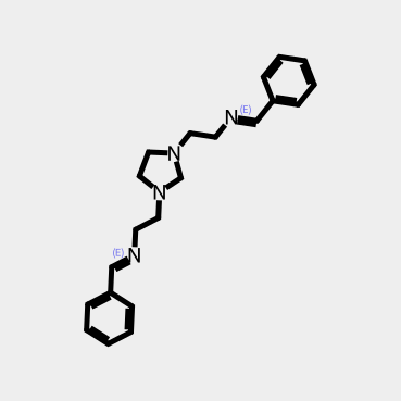 C(=N\CCN1CCN(CC/N=C/c2ccccc2)C1)/c1ccccc1